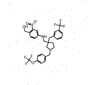 O=[N+]([O-])c1cc(NCC2(Cc3cccc(C(F)(F)F)c3)CCN(Cc3ccc(OC(F)(F)F)cc3)C2)ccc1CO